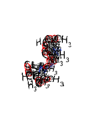 COc1ccc(CC(C)c2c(CCN(C)CCCOC(=O)/C=C\C(=O)OCCC[N+]3(C)CCc4cc(OC)c(OC)cc4C3c3cc(OC)c(OC)c(OC)c3)cc(OC)c(OC)c2OC)cc1OC